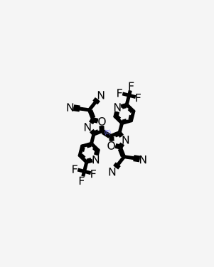 N#CC(C#N)=c1nc(-c2ccc(C(F)(F)F)nc2)/c(=c2\oc(=C(C#N)C#N)nc2-c2ccc(C(F)(F)F)nc2)o1